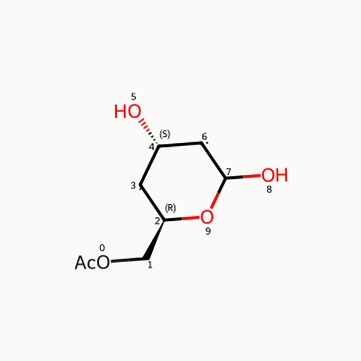 CC(=O)OC[C@H]1[CH][C@H](O)[CH]C(O)O1